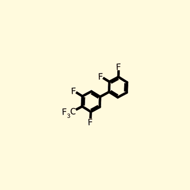 Fc1cccc(-c2cc(F)c(C(F)(F)F)c(F)c2)c1F